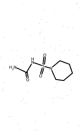 NC(=O)NS(=O)(=O)N1CCCCC1